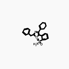 NS(=O)(=O)c1ccccc1-c1oc(Cc2ccccc2)nc1C1=CCCCC1